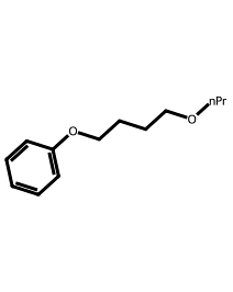 [CH2]CCOCCCCOc1ccccc1